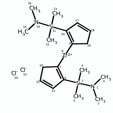 CN(C)[Si](C)(C)C1=[C]([Zr+2][C]2=C([Si](C)(C)N(C)C)C=CC2)CC=C1.[Cl-].[Cl-]